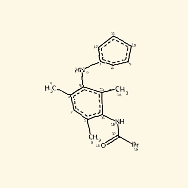 Cc1cc(C)c(Nc2ccccc2)c(C)c1NC(=O)C(C)C